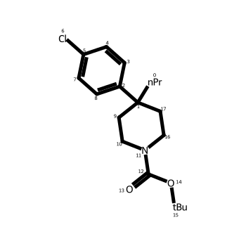 CCCC1(c2ccc(Cl)cc2)CCN(C(=O)OC(C)(C)C)CC1